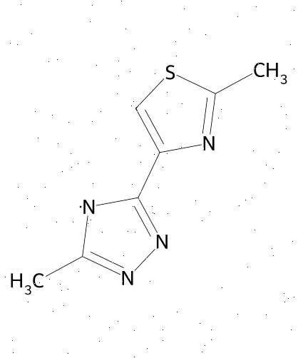 CC1=NN=C(c2csc(C)n2)[N]1